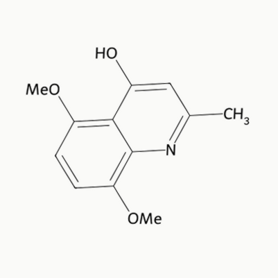 COc1ccc(OC)c2c(O)cc(C)nc12